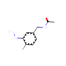 CC(C)C(=O)NCc1ccc(Cl)c(NN)c1